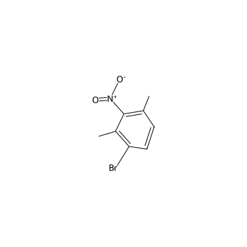 Cc1ccc(Br)c(C)c1[N+](=O)[O-]